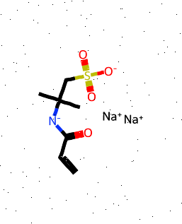 C=CC(=O)[N-]C(C)(C)CS(=O)(=O)[O-].[Na+].[Na+]